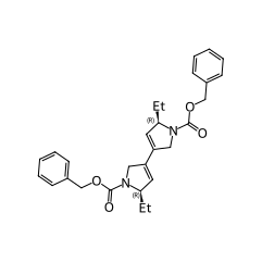 CC[C@@H]1C=C(C2=C[C@@H](CC)N(C(=O)OCc3ccccc3)C2)CN1C(=O)OCc1ccccc1